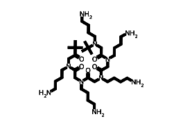 CC(C)(C)C(=O)CN(CCCCN)C(=O)CN(CCCCN)C(=O)CN(CCCCN)C(=O)CN(CCCCN)C(=O)CN(CCCCN)C(C)(C)C